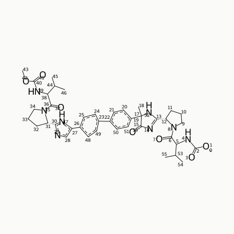 COC(=O)NC(C(=O)N1CCC[C@H]1C1=NC(=O)C(C)(c2ccc(-c3ccc(-c4cnc([C@@H]5CCCN5C(=O)C(NC(=O)OC)C(C)C)[nH]4)cc3)cc2)N1)C(C)C